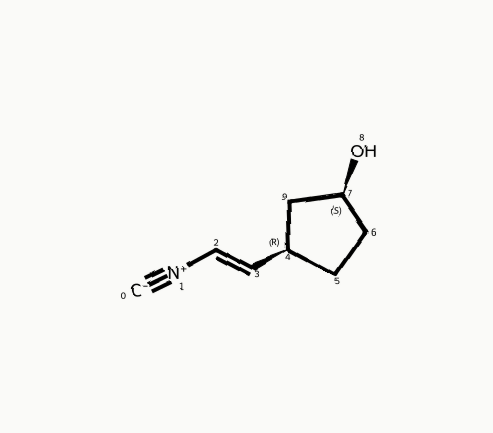 [C-]#[N+]C=C[C@@H]1CC[C@H](O)C1